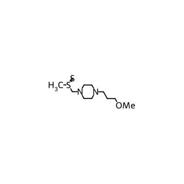 COCCCN1CCN(CS(C)=S)CC1